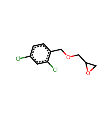 Clc1ccc(COCC2CO2)c(Cl)c1